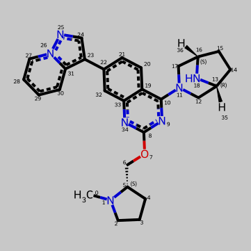 CN1CCC[C@H]1COc1nc(N2C[C@H]3CC[C@@H](C2)N3)c2ccc(-c3cnn4ccccc34)cc2n1